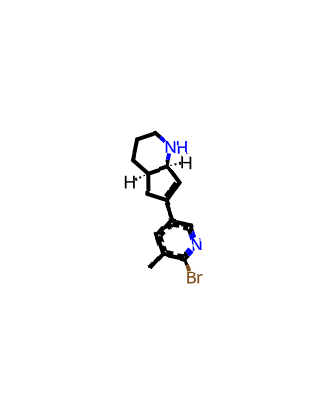 Cc1cc(C2=C[C@@H]3NCCC[C@@H]3C2)cnc1Br